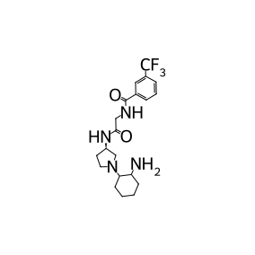 NC1CCCCC1N1CC[C@@H](NC(=O)CNC(=O)c2cccc(C(F)(F)F)c2)C1